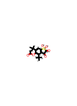 CC(=O)Oc1c(C(C)(C)C)cc2c(c1C(C)(C)C)C(=O)C(=O)S2(=O)=O